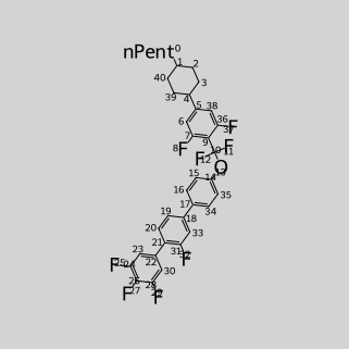 CCCCCC1CCC(c2cc(F)c(C(F)(F)Oc3ccc(-c4ccc(-c5cc(F)c(F)c(F)c5)c(F)c4)cc3)c(F)c2)CC1